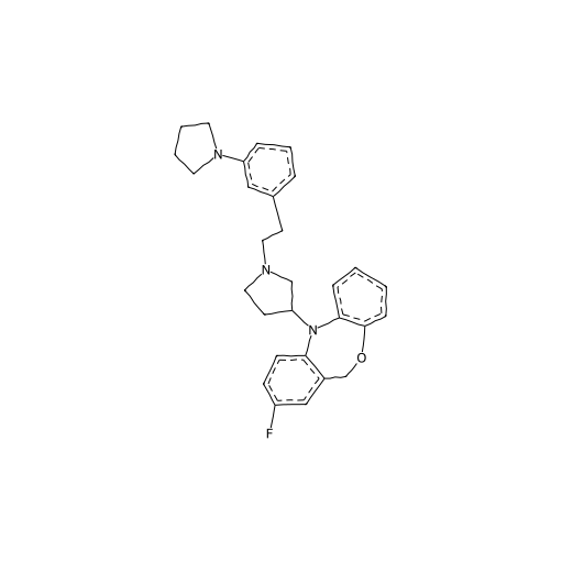 Fc1ccc2c(c1)COc1ccccc1N2C1CCN(CCc2cccc(N3CCCC3)c2)C1